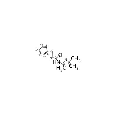 CC(C)CC(C)NC(=O)/C=C/c1ccccc1